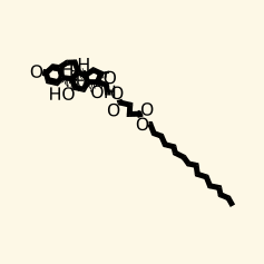 CCCCCCCCCCCCCCCCOC(=O)CCC(=O)OCC(=O)[C@@]1(O)[C@H](C)C[C@H]2[C@@H]3CCC4=CC(=O)C=C[C@]4(C)[C@@]3(F)[C@@H](O)C[C@@]21C